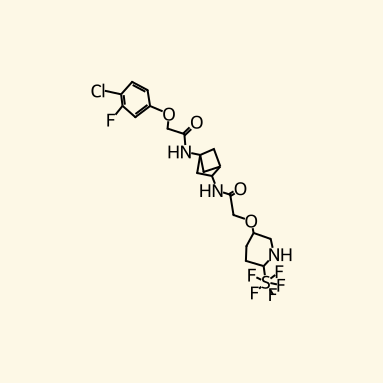 O=C(COC1CCC(S(F)(F)(F)(F)F)NC1)NC1CC2(NC(=O)COc3ccc(Cl)c(F)c3)CC1C2